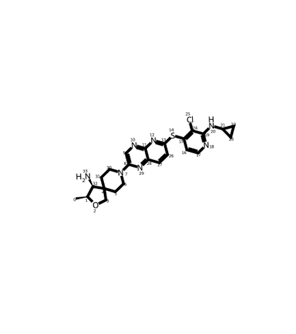 C[C@@H]1OCC2(CCN(c3cnc4nc(Sc5ccnc(NC6CC6)c5Cl)ccc4n3)CC2)[C@@H]1N